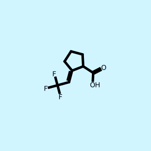 O=C(O)C1CCCC1=CC(F)(F)F